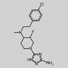 CN(CCc1ccc(Cl)cc1)C1CCN(c2nc(N)n[nH]2)CC1F